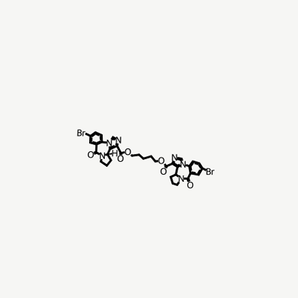 O=C(OCCCCCOC(=O)c1ncn2c1[C@@H]1CCCN1C(=O)c1cc(Br)ccc1-2)c1ncn2c1C1CCCN1C(=O)c1cc(Br)ccc1-2